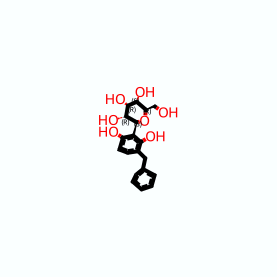 OC[C@H]1O[C@@H](c2c(O)ccc(Cc3ccccc3)c2O)[C@H](O)[C@@H](O)[C@@H]1O